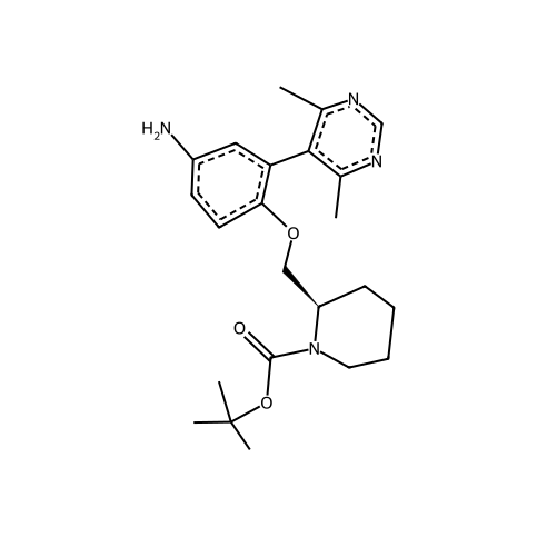 Cc1ncnc(C)c1-c1cc(N)ccc1OC[C@H]1CCCCN1C(=O)OC(C)(C)C